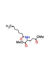 C=CCCCCC(=O)N[C@@H](CCC(=O)OC)C(=O)OC